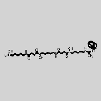 C=C(NCCCCCN(O)C(=O)CCC(=O)NCCCCCN(O)C(=O)CCC(=O)NCCCCCN(O)C(C)=O)NC12CC3CC(CC(C3)C1)C2